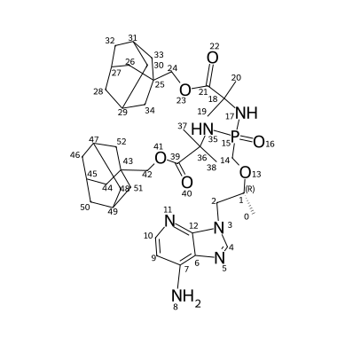 C[C@H](Cn1cnc2c(N)ccnc21)OCP(=O)(NC(C)(C)C(=O)OCC12CC3CC(CC(C3)C1)C2)NC(C)(C)C(=O)OCC12CC3CC(CC(C3)C1)C2